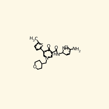 Cc1ccc(-c2cn(CC3CCOCC3)cc(C(=O)NC(N)/C=C\C(N)Cl)c2=O)s1